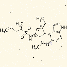 C=N/N=c1/cnc2[nH]ccc2n1C1C[C@@H](NS(=O)(=O)C(C)CCC)C[C@H]1CC